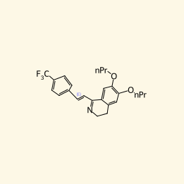 CCCOc1cc2c(cc1OCCC)C(/C=C/c1ccc(C(F)(F)F)cc1)=NCC2